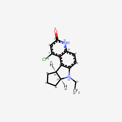 O=c1cc(Cl)c2c3c(ccc2[nH]1)N(CC(F)(F)F)[C@H]1CCC[C@@H]31